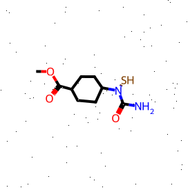 COC(=O)C1CCC(N(S)C(N)=O)CC1